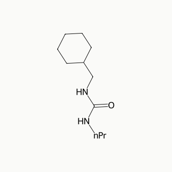 CCCNC(=O)NCC1CCCCC1